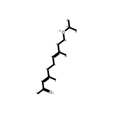 CC(=O)/C=C(\C)CC/C=C(\C)CCOC(C)C